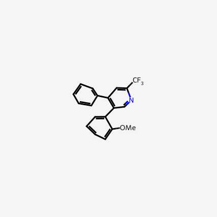 COc1ccccc1-c1cnc(C(F)(F)F)cc1-c1ccccc1